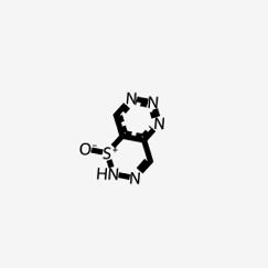 [O-][S+]1NN=Cc2nnncc21